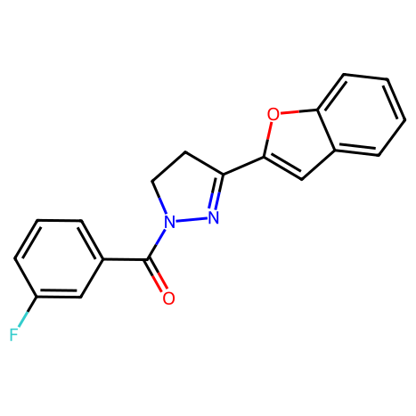 O=C(c1cccc(F)c1)N1CCC(c2cc3ccccc3o2)=N1